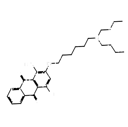 CCCCN(CCCC)CCCCCCNc1cc(O)c2c(c1N)C(=O)c1ccccc1C2=O